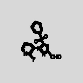 O=Cc1cc(S(=O)(=O)c2ccccc2)n(-c2cccnc2F)n1